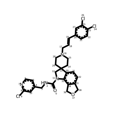 O=C(NCc1ccnc(Cl)c1)N1CC2(CCN(CC=Cc3ccc(Cl)c(Cl)c3)CC2)c2ccc3c(c21)COC3